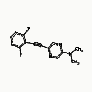 CN(C)c1cnc(C#Cc2c(F)cccc2F)cn1